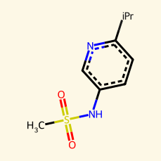 CC(C)c1ccc(NS(C)(=O)=O)cn1